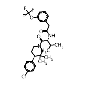 CC(C)[C@@H](NC(=O)Cc1cccc(OC(F)(F)F)c1)C(=O)N1CC[C@H](c2ccc(Cl)cc2)C(C)(C)C1